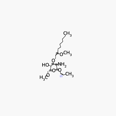 C/C=C\O[C@H]1O[C@H](COC)C(O)[C@H](OCC[C@@H](CCCCCCC)OC)[C@H]1N